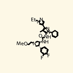 CCn1cc(-c2nn(C3C=CC=CC3)c(NC(=O)N[C@@H]3CN(CCOC)C[C@H]3c3ccc(F)c(F)c3)c2C)cn1